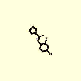 C/C(=N\c1ncc(Cl)cc1F)n1ccnc1